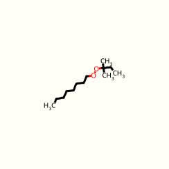 CCCCCCCCOOC(C)(C)CC